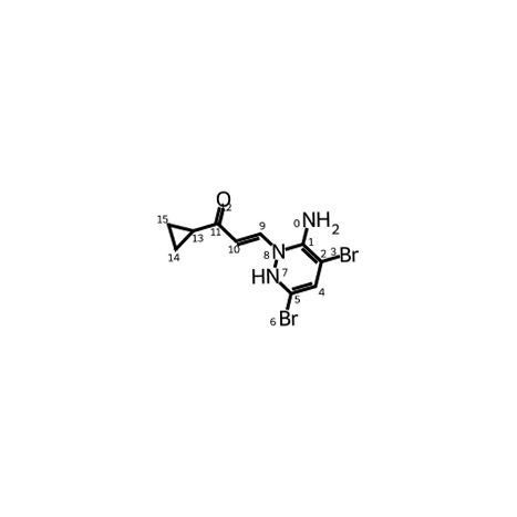 NC1=C(Br)C=C(Br)NN1/C=C/C(=O)C1CC1